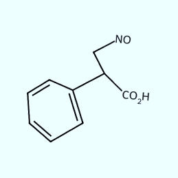 O=NCC(C(=O)O)c1ccccc1